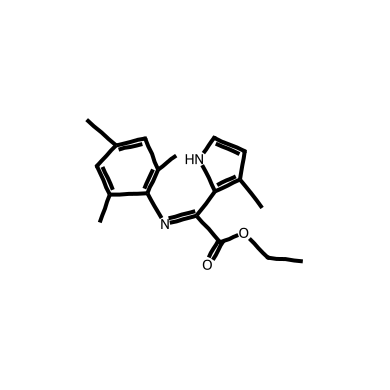 CCOC(=O)C(=Nc1c(C)cc(C)cc1C)c1[nH]ccc1C